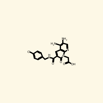 Nc1cnc2c(cc(C(=O)NCc3ccc(Cl)cc3)c(=O)n2CC(=O)O)c1N